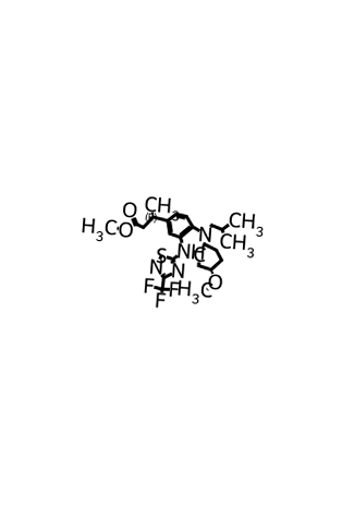 COC(=O)C[C@@H](C)c1ccc(N(CC(C)C)[C@H]2CC[C@H](OC)CC2)c(Nc2nc(C(F)(F)F)ns2)c1